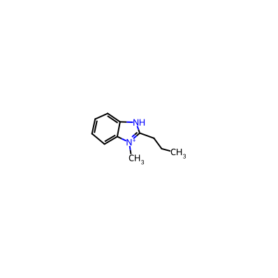 CCCc1[nH]c2ccccc2[n+]1C